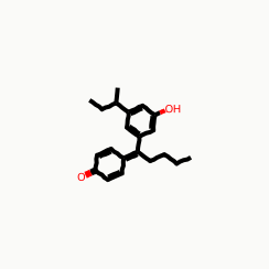 CCCCC(=C1C=CC(=O)C=C1)c1cc(O)cc(C(C)CC)c1